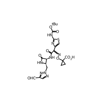 CC(C)(C)OC(=O)Nc1nc(/C(=N/OC2(C(=O)O)CC2)C(=O)N[C@@H]2C(=O)N[C@@H]2Cn2ncc(C=O)n2)cs1